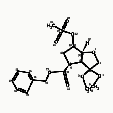 COC1(OC)CO[C@H]2C1N(C(=O)OCc1ccccc1)C[C@H]2OS(C)(=O)=O